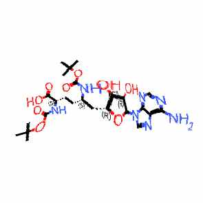 CC(C)(C)OC(=O)N[C@@H](CC[C@H](NC(=O)OC(C)(C)C)C(=O)O)C[C@H]1OC(n2cnc3c(N)ncnc32)[C@H](O)[C@@H]1O